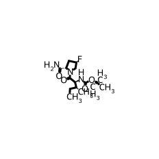 CC[C@@H](C)[C@H](NC(=O)OC(C)(C)C)C(=O)N1C[C@@H](F)C[C@H]1C(N)=O